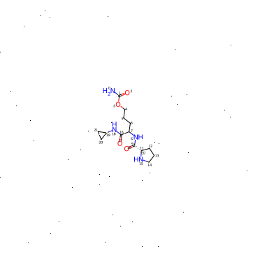 NC(=O)OCCCC(NC(=O)[C@@H]1CCCN1)C(=O)NC1CC1